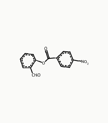 O=Cc1ccccc1OC(=O)c1ccc([N+](=O)[O-])cc1